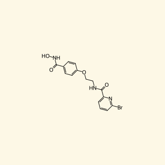 O=C(NO)c1ccc(OCCNC(=O)c2cccc(Br)n2)cc1